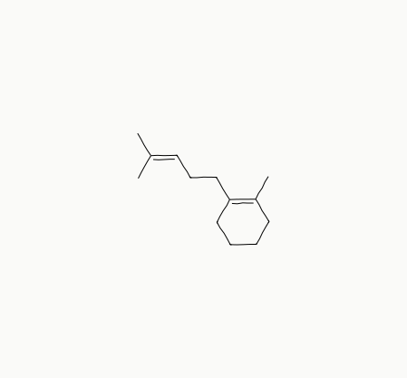 CC(C)=CCCC1=C(C)CCCC1